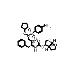 Nc1ccc(S(=O)(=O)N(C[C@@H](O)[C@H](Cc2ccccc2)NC(=O)O[C@H]2CO[C@@H]3OCC[C@@H]32)OC2CCCC2)cc1